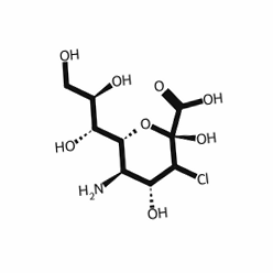 N[C@H]1[C@H]([C@H](O)[C@H](O)CO)O[C@](O)(C(=O)O)C(Cl)[C@@H]1O